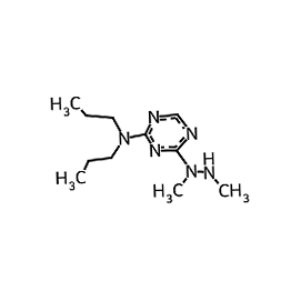 CCCN(CCC)c1ncnc(N(C)NC)n1